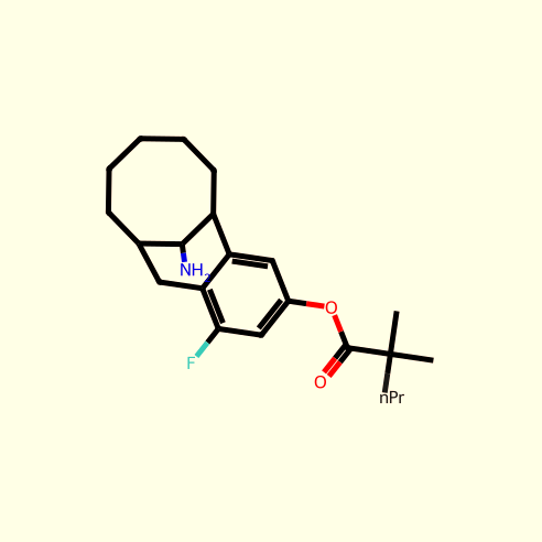 CCCC(C)(C)C(=O)Oc1cc(F)c2c(c1)C1CCCCCC(C2)C1N